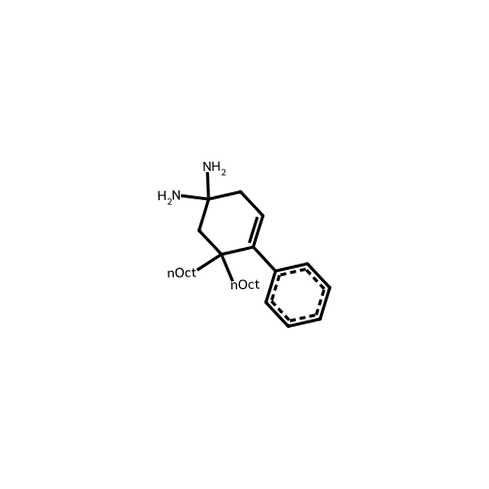 CCCCCCCCC1(CCCCCCCC)CC(N)(N)CC=C1c1ccccc1